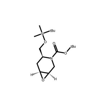 CC(C)(C)OC(=O)N1C[C@H]2O[C@H]2C[C@H]1CO[Si](C)(C)C(C)(C)C